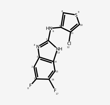 Fc1cc2nc(Nc3cscc3Cl)[nH]c2cc1F